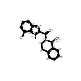 O=C(c1nc2cccc(Cl)c2[nH]1)N1CCc2ccccc2C1C(F)(F)F